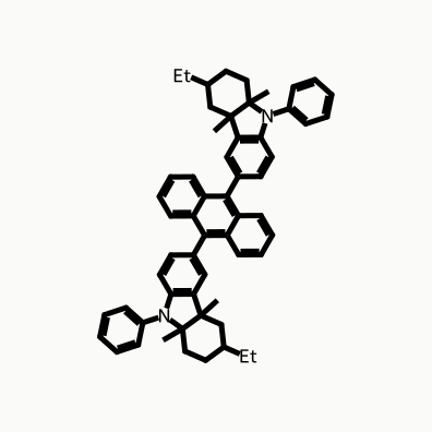 CCC1CCC2(C)N(c3ccccc3)c3ccc(-c4c5ccccc5c(-c5ccc6c(c5)C5(C)CC(CC)CCC5(C)N6c5ccccc5)c5ccccc45)cc3C2(C)C1